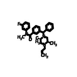 C=CCN1C[C@H](C)N(C(c2ccccc2)c2cccc(C(=O)N(C)c3cccc(F)c3)c2)C[C@H]1C